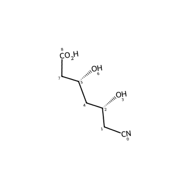 N#CC[C@@H](O)C[C@@H](O)CC(=O)O